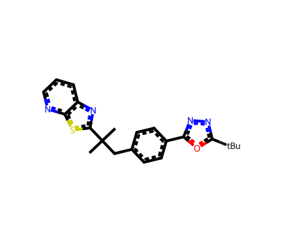 CC(C)(C)c1nnc(-c2ccc(CC(C)(C)c3nc4cccnc4s3)cc2)o1